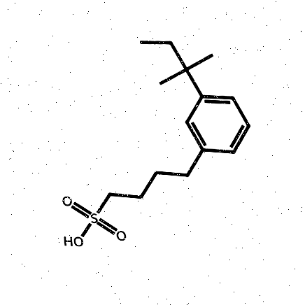 CCC(C)(C)c1cccc(CCCCS(=O)(=O)O)c1